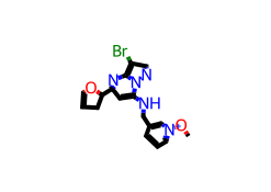 CO[n+]1cccc(CNc2cc(C3CC=CO3)nc3c(Br)cnn23)c1